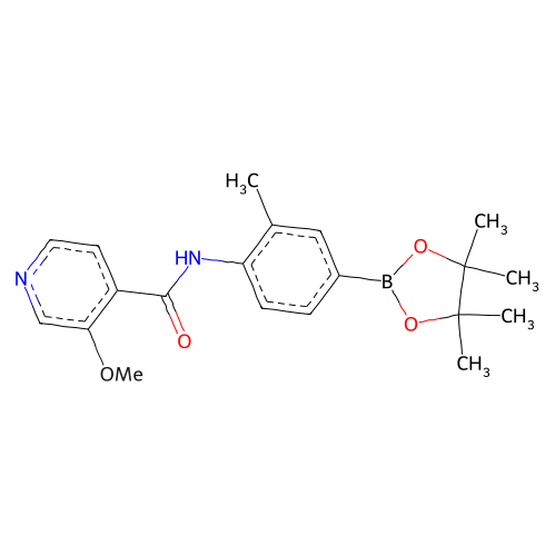 COc1cnccc1C(=O)Nc1ccc(B2OC(C)(C)C(C)(C)O2)cc1C